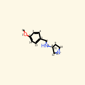 COc1ccc(CN[C@H]2CC[N]C2)cc1